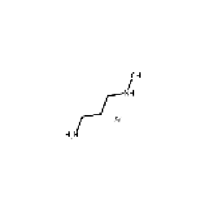 CNCCCN.[Ar]